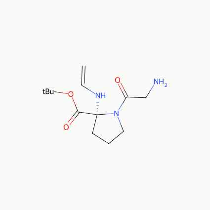 C=CN[C@@]1(C(=O)OC(C)(C)C)CCCN1C(=O)CN